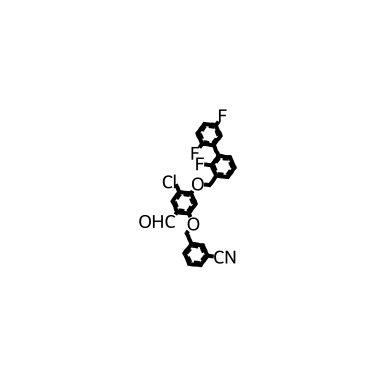 N#Cc1cccc(COc2cc(OCc3cccc(-c4cc(F)ccc4F)c3F)c(Cl)cc2C=O)c1